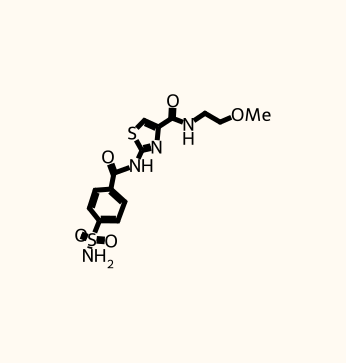 COCCNC(=O)c1csc(NC(=O)c2ccc(S(N)(=O)=O)cc2)n1